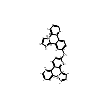 c1cnc2c3ccc(Oc4ccc5c6ncccc6n6nccc6c5n4)cc3c3nccn3c2c1